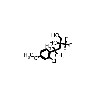 COc1ccc(C(C)(C)CC(O)(CO)C(F)(F)F)c(Cl)c1